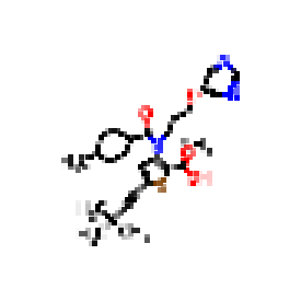 CC1CCC(C(=O)N(c2cc(C#CC(C)(C)C)sc2C(=O)O)[C@@H](C)CCOc2cncnc2)CC1